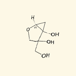 OCC1(O)CO[C@H]2CC21O